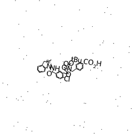 C[C@@H]1Cc2ccccc2N1NC(=O)c1ccc(Cl)c(S(=O)(=O)N(Cc2ccc(C(=O)O)cc2)C(=O)OC(C)(C)C)c1